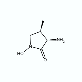 C[C@@H]1CN(O)C(=O)[C@@H]1N